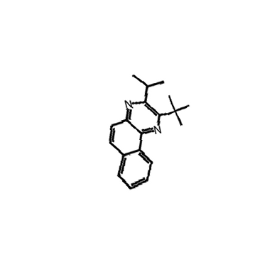 CC(C)c1nc2ccc3ccccc3c2nc1C(C)(C)C